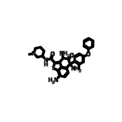 Cc1cc(Oc2ccccc2)ccc1C1(N)C(=O)C(N)c2c(C(=O)NC3CCCN(C)C3)sc3c(N)ccc1c23